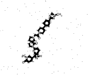 CC(C)n1cc(-c2n[nH]c3ccc(N4CC[C@]5(CCN(CC(=O)N6CC=C(c7ccc(-c8ncn(C)n8)cc7)CC6)C5)C4=O)nc23)ccc1=O